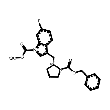 CC(C)(C)OC(=O)n1cc(C[C@@H]2CCCN2C(=O)OCc2ccccc2)c2ccc(F)cc21